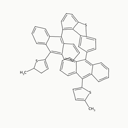 Cc1ccc(-c2c3ccccc3c(-c3ccc4sc5cccc(-c6c7ccccc7c(C7=CCC(C)S7)c7ccccc67)c5c4c3)c3ccccc23)s1